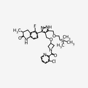 CC1Cc2c(ccc(-c3n[nH]c(COCC[Si](C)(C)C)c3COC3CN(C(=O)c4ncccc4Cl)C3)c2F)NC1=O